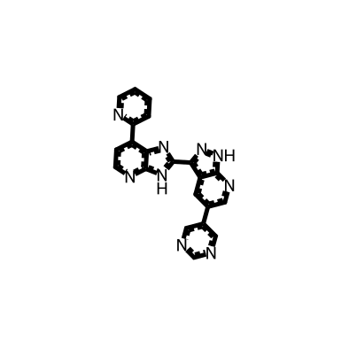 c1ccc(-c2ccnc3[nH]c(-c4n[nH]c5ncc(-c6cncnc6)cc45)nc23)nc1